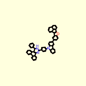 c1ccc(C2NC(c3ccc(-n4c5ccccc5c5cc(-c6ccc7oc8c(c7c6)-c6cccc7cccc-8c67)ccc54)cc3)=Nc3c2c2ccccc2c2ccccc32)cc1